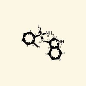 Cc1ccccc1S(N)(=O)=Nc1c[nH]c2ccccc12